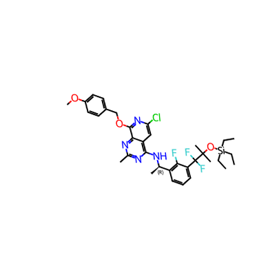 CC[Si](CC)(CC)OC(C)(C)C(F)(F)c1cccc([C@@H](C)Nc2nc(C)nc3c(OCc4ccc(OC)cc4)nc(Cl)cc23)c1F